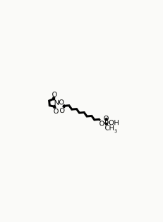 CP(=O)(O)OCCCCCCCCCC(=O)ON1C(=O)CCC1=O